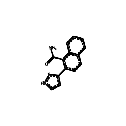 NC(=O)c1c(-c2cc[nH]n2)ccc2ccccc12